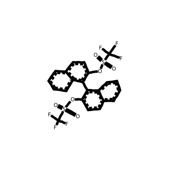 O=S(=O)(Oc1ccc2ccccc2c1-c1c(OS(=O)(=O)C(F)(F)F)ccc2ccccc12)C(F)(F)F